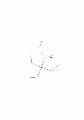 CCC(CO)(CO)[N+](=O)OC